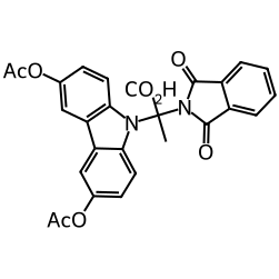 CC(=O)Oc1ccc2c(c1)c1cc(OC(C)=O)ccc1n2C(C)(C(=O)O)N1C(=O)c2ccccc2C1=O